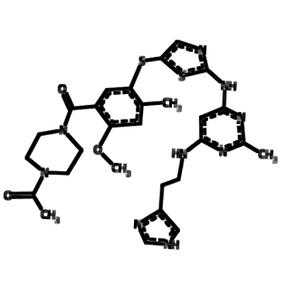 COc1cc(C)c(Sc2cnc(Nc3cc(NCCc4c[nH]cn4)nc(C)n3)s2)cc1C(=O)N1CCN(C(C)=O)CC1